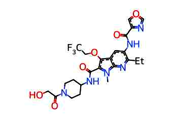 CCc1nc2c(cc1NC(=O)c1cocn1)c(OCC(F)(F)F)c(C(=O)NC1CCN(C(=O)CO)CC1)n2C